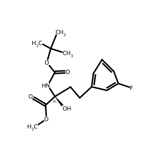 COC(=O)[C@@](O)(CCc1cccc(F)c1)NC(=O)OC(C)(C)C